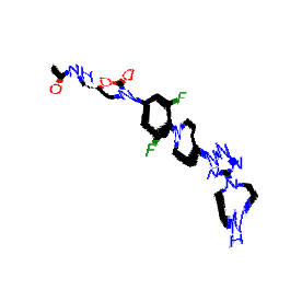 CC(=O)NC[C@H]1CN(c2cc(F)c(N3CCC(n4nnc(N5CCNCC5)n4)CC3)c(F)c2)C(=O)O1